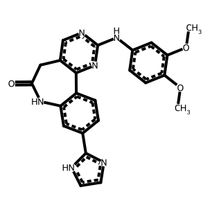 COc1ccc(Nc2ncc3c(n2)-c2ccc(-c4ncc[nH]4)cc2NC(=O)C3)cc1OC